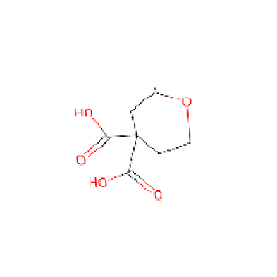 O=C(O)C1(C(=O)O)C[CH]OCC1